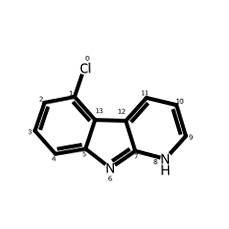 Clc1cccc2nc3[nH]cccc-3c12